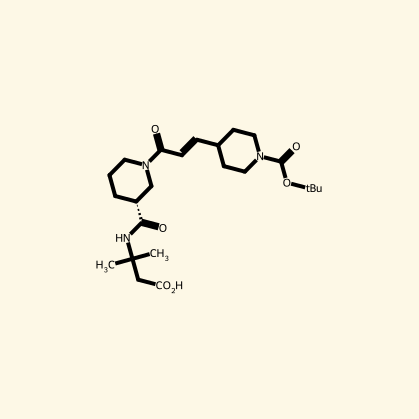 CC(C)(CC(=O)O)NC(=O)[C@@H]1CCCN(C(=O)/C=C/C2CCN(C(=O)OC(C)(C)C)CC2)C1